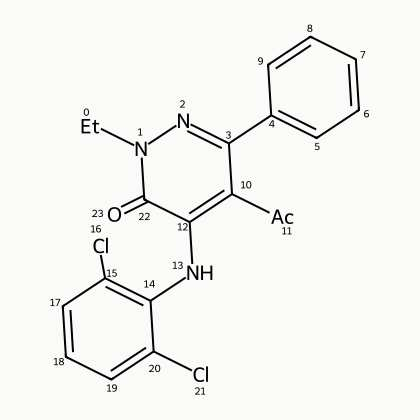 CCn1nc(-c2ccccc2)c(C(C)=O)c(Nc2c(Cl)cccc2Cl)c1=O